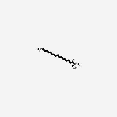 CCCCCCCCCCCCCCCCCC(=O)N(C)CO